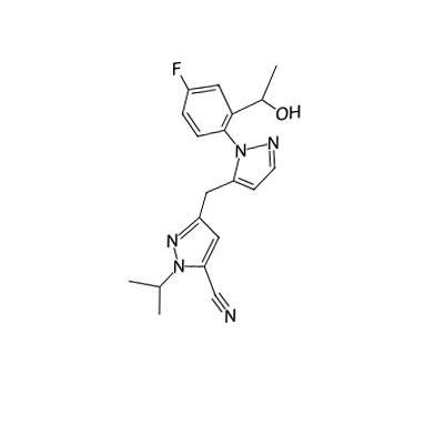 CC(O)c1cc(F)ccc1-n1nccc1Cc1cc(C#N)n(C(C)C)n1